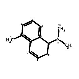 Cc1cccc2c1C=CCC2N(C)C